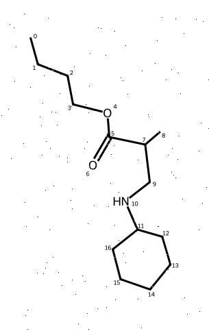 CCCCOC(=O)C(C)CNC1CCCCC1